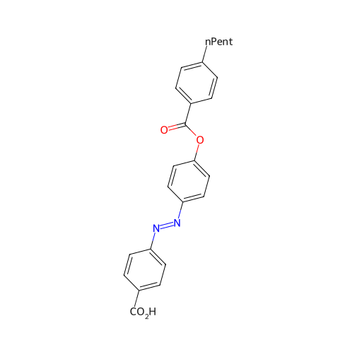 CCCCCc1ccc(C(=O)Oc2ccc(N=Nc3ccc(C(=O)O)cc3)cc2)cc1